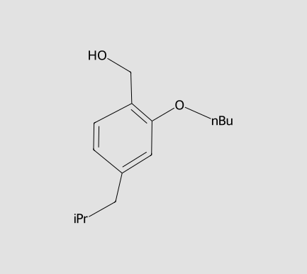 CCCCOc1cc(CC(C)C)ccc1CO